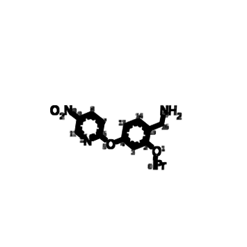 CC(C)Oc1cc(Oc2ccc([N+](=O)[O-])cn2)ccc1CN